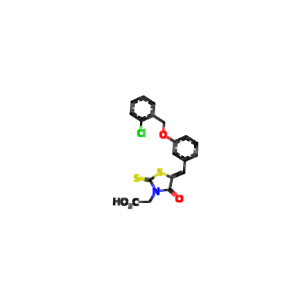 O=C(O)CN1C(=O)C(=Cc2cccc(OCc3ccccc3Cl)c2)SC1=S